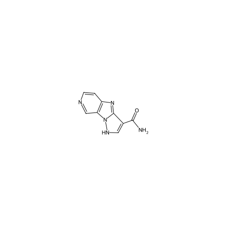 NC(=O)c1c[nH]n2c1nc1ccncc12